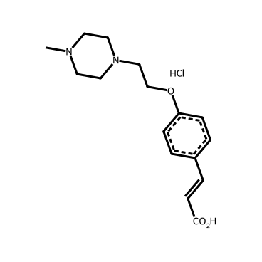 CN1CCN(CCOc2ccc(C=CC(=O)O)cc2)CC1.Cl